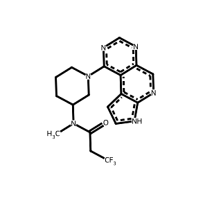 CN(C(=O)CC(F)(F)F)C1CCCN(c2ncnc3cnc4[nH]ccc4c23)C1